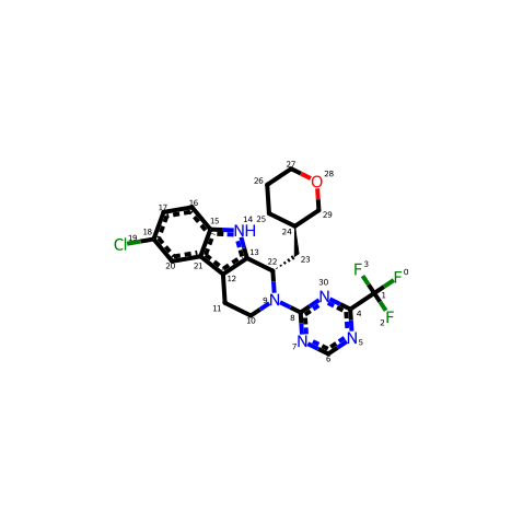 FC(F)(F)c1ncnc(N2CCc3c([nH]c4ccc(Cl)cc34)[C@@H]2C[C@H]2CCCOC2)n1